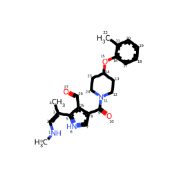 CN/C=C(/C)c1[nH]cc(C(=O)N2CCC(Oc3ccccc3C)CC2)c1C=O